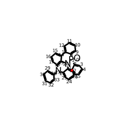 O=P1(c2ccccc2)c2ccccc2-c2cccc3c2N1c1ccccc1N3c1ccccc1